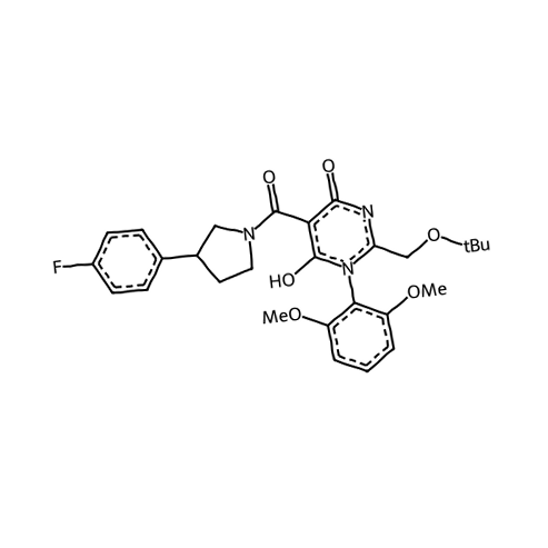 COc1cccc(OC)c1-n1c(COC(C)(C)C)nc(=O)c(C(=O)N2CCC(c3ccc(F)cc3)C2)c1O